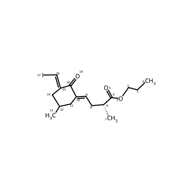 CCCOC(=O)[C@H](C)C/C=C1\CC(C)C/C(=C\I)C1=O